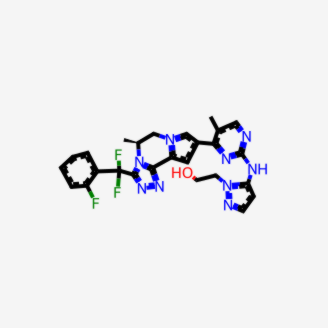 Cc1cnc(Nc2ccnn2CCO)nc1-c1cc2n(c1)C[C@H](C)n1c-2nnc1C(F)(F)c1ccccc1F